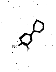 N#Cc1ccc(C2CCCCC2)cc1F